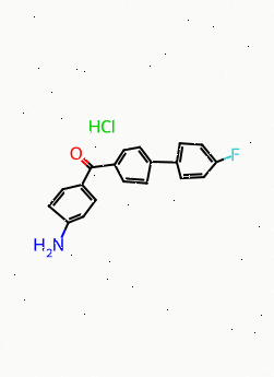 Cl.Nc1ccc(C(=O)c2ccc(-c3ccc(F)cc3)cc2)cc1